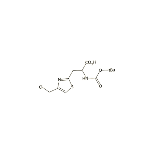 CC(C)(C)OC(=O)NC(Cc1nc(CCl)cs1)C(=O)O